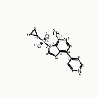 Cc1ncc(-c2c[c]ncc2)c2ccn(S(=O)(=O)C3CC3)c12